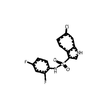 O=S(=O)(Nc1ccc(F)cc1F)c1c[nH]c2cc(Cl)ccc12